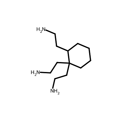 NCCC1CCCCC1(CCN)CCN